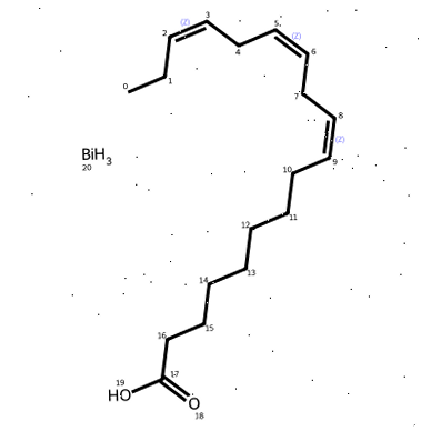 CC/C=C\C/C=C\C/C=C\CCCCCCCC(=O)O.[BiH3]